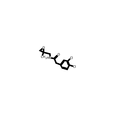 CC1(CNC(=O)Cc2ccc(Cl)c(Cl)c2)CO1